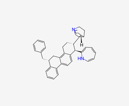 C1=CC=C([C@H]2c3ccc4c(c3CC[C@@H]2[C@@H]2CN3CCC2CC3)C[C@@H](Cc2ccccc2)c2ccccc2-4)NC=C1